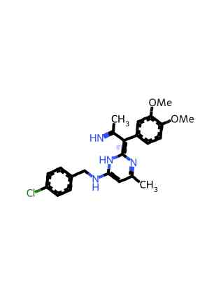 COc1ccc(/C(C(C)=N)=C2\N=C(C)C=C(NCc3ccc(Cl)cc3)N2)cc1OC